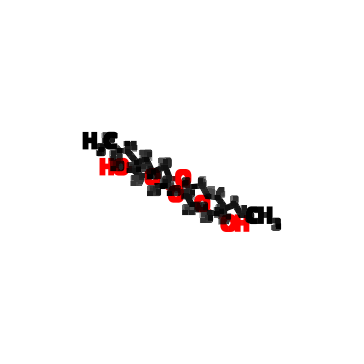 CCCCCCCCOCCCCCCCC.OCCOCCOCCOCCO